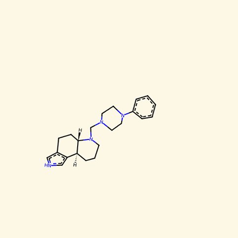 c1ccc(N2CCN(CN3CCC[C@H]4c5c[nH]cc5CC[C@@H]43)CC2)cc1